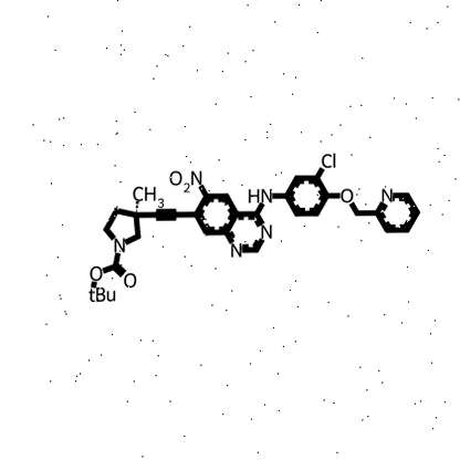 CC(C)(C)OC(=O)N1CC[C@@](C)(C#Cc2cc3ncnc(Nc4ccc(OCc5ccccn5)c(Cl)c4)c3cc2[N+](=O)[O-])C1